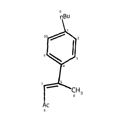 CCCCc1ccc(/C(C)=C/C(C)=O)cc1